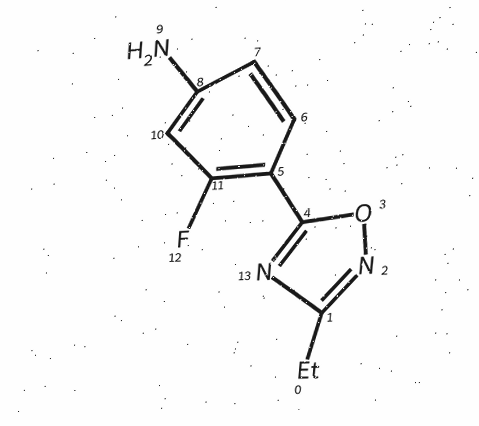 CCc1noc(-c2ccc(N)cc2F)n1